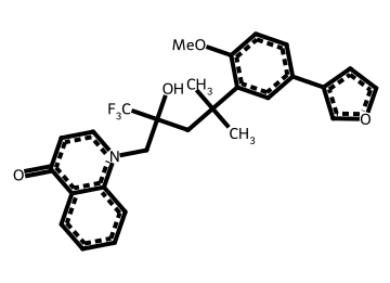 COc1ccc(-c2ccoc2)cc1C(C)(C)CC(O)(Cn1ccc(=O)c2ccccc21)C(F)(F)F